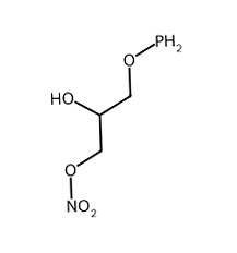 O=[N+]([O-])OCC(O)COP